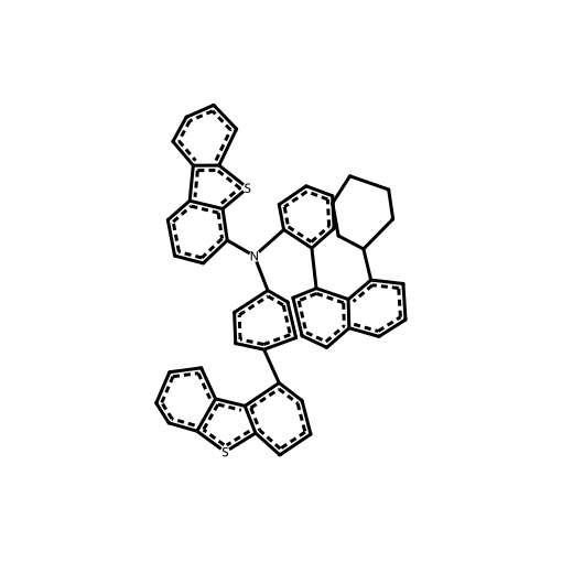 c1ccc(N(c2ccc(-c3cccc4sc5ccccc5c34)cc2)c2cccc3c2sc2ccccc23)c(-c2cccc3cccc(C4CCCCC4)c23)c1